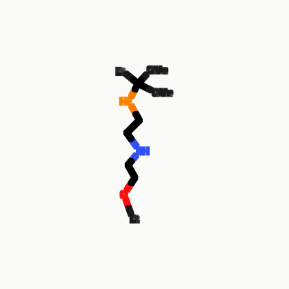 CCOCCNCCPC(CC)(OC)OC